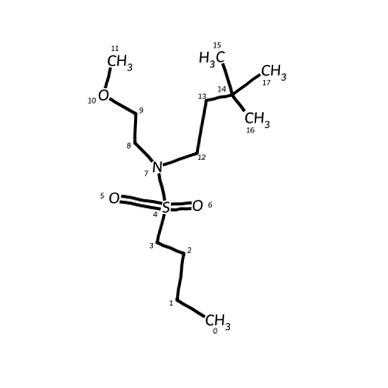 CCCCS(=O)(=O)N(CCOC)CCC(C)(C)C